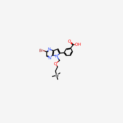 C[Si](C)(C)CCOCn1c(-c2cccc(C(=O)O)c2)cc2nc(Br)cnc21